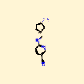 N#Cc1ccc(NC[C@@H]2CC[C@H](N)C2)nc1